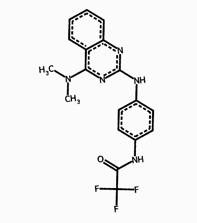 CN(C)c1nc(Nc2ccc(NC(=O)C(F)(F)F)cc2)nc2ccccc12